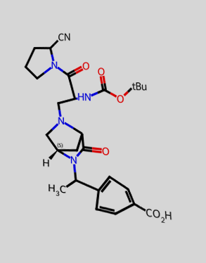 CC(c1ccc(C(=O)O)cc1)N1C(=O)C2C[C@H]1CN2CC(NC(=O)OC(C)(C)C)C(=O)N1CCCC1C#N